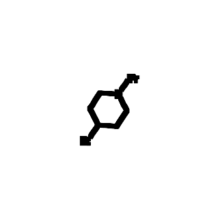 CCC1CCN(C(C)C)CC1